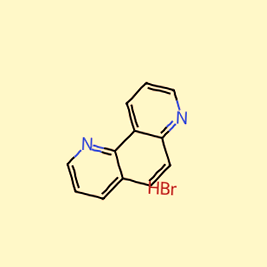 Br.c1cnc2c(c1)ccc1ncccc12